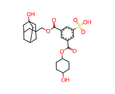 O=C(OCC12CC3CC(CC(O)(C3)C1)C2)c1cc(C(=O)OC2CCC(O)CC2)cc(S(=O)(=O)O)c1